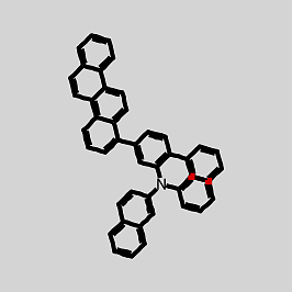 c1ccc(-c2ccc(-c3cccc4c3ccc3c5ccccc5ccc43)cc2N(c2ccccc2)c2ccc3ccccc3c2)cc1